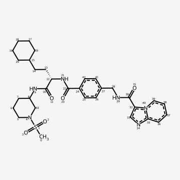 CS(=O)(=O)N1CCCC(NC(=O)[C@H](CCC2CCCCC2)NC(=O)c2ccc(CNC(=O)c3cnc4ccccn34)cc2)C1